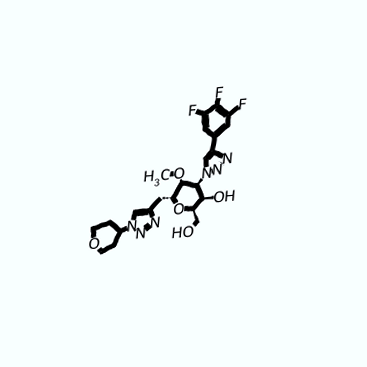 CO[C@@H]1[C@@H](n2cc(-c3cc(F)c(F)c(F)c3)nn2)[C@@H](O)[C@@H](CO)O[C@@H]1Cc1cn(C2CCOCC2)nn1